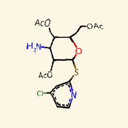 CC(=O)OCC1OC(Sc2cc(Cl)ccn2)C(OC(C)=O)C(N)C1OC(C)=O